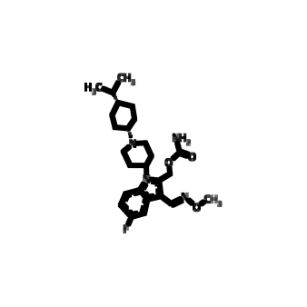 CON=Cc1c(COC(N)=O)n(C2CCN([C@H]3CC[C@@H](C(C)C)CC3)CC2)c2ccc(F)cc12